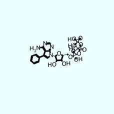 Nc1ncnc2c1c(-c1ccccc1)cn2[C@@H]1O[C@H](COP(=O)(O)OP(=O)(O)OP(=O)(O)O)C(O)C1O